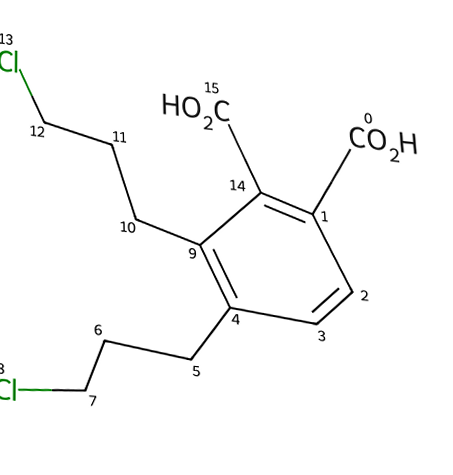 O=C(O)c1ccc(CCCCl)c(CCCCl)c1C(=O)O